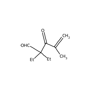 C=C(C)C(=O)C([C]=O)(CC)CC